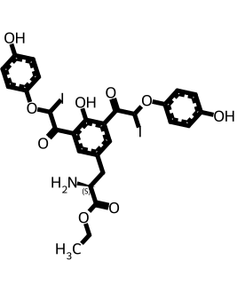 CCOC(=O)[C@@H](N)Cc1cc(C(=O)C(I)Oc2ccc(O)cc2)c(O)c(C(=O)C(I)Oc2ccc(O)cc2)c1